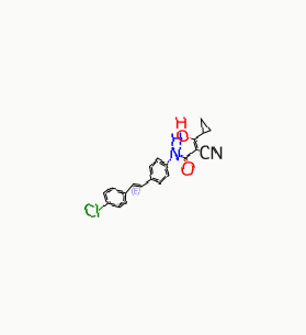 N#CC(C(=O)Nc1ccc(/C=C/c2ccc(Cl)cc2)cc1)=C(O)C1CC1